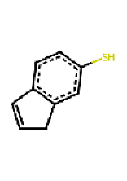 Sc1ccc2c(c1)CC=C2